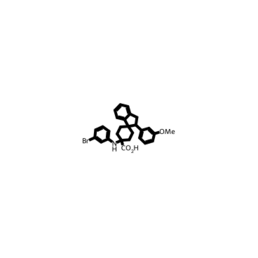 COc1cccc(C2Cc3ccccc3C23CCC(Nc2cccc(Br)c2)(C(=O)O)CC3)c1